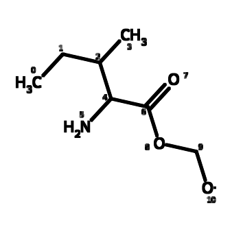 CCC(C)C(N)C(=O)OC[O]